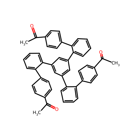 CC(=O)c1ccc(-c2ccccc2-c2cc(-c3ccccc3-c3ccc(C(C)=O)cc3)cc(-c3ccccc3-c3ccc(C(C)=O)cc3)c2)cc1